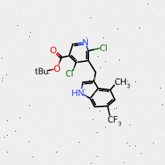 Cc1cc(C(F)(F)F)cc2[nH]cc(Cc3c(Cl)ncc(C(=O)OC(C)(C)C)c3Cl)c12